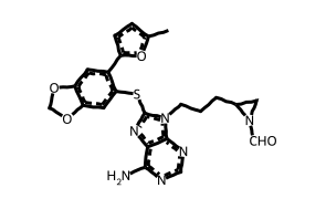 Cc1ccc(-c2cc3c(cc2Sc2nc4c(N)ncnc4n2CCCC2CN2C=O)OCO3)o1